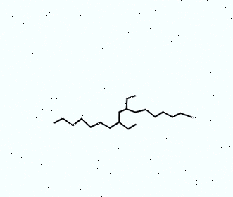 CCCCCCCC(CC)CC(CC)CCCCCCC